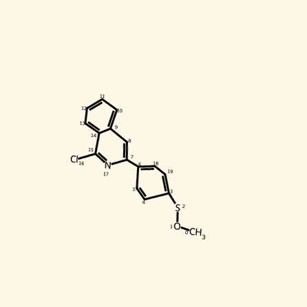 COSc1ccc(-c2cc3ccccc3c(Cl)n2)cc1